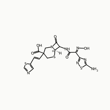 Nc1nc(C(=NO)C(=O)NC2C(=O)N3CC(C=Cc4cncs4)(C(=O)O)CS[C@H]23)ns1